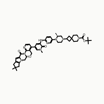 C[C@H]1CN(C2CC3(CCN(C(=O)OC(C)(C)C)CC3)C2)CCN1c1ccc(Nc2cc(-c3ccnc(N4CCn5c(cc6c5CC(C)(C)C6)C4=O)c3CO)cn(C)c2=O)nc1